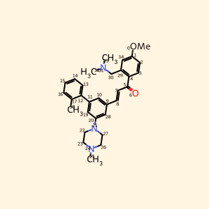 COc1ccc(C(=O)C=Cc2cc(-c3ccccc3C)cc(N3CCN(C)CC3)c2)c(CN(C)C)c1